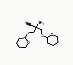 N#CC(N)(COC1CCCCO1)COC1CCCCO1